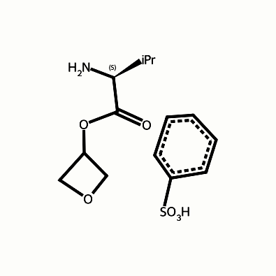 CC(C)[C@H](N)C(=O)OC1COC1.O=S(=O)(O)c1ccccc1